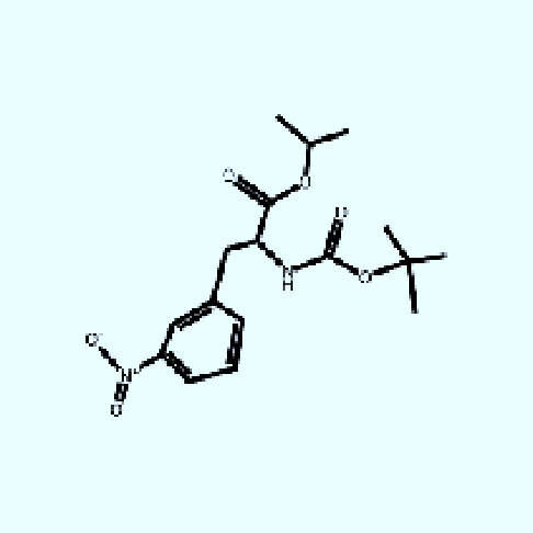 CC(C)OC(=O)C(Cc1cccc([N+](=O)[O-])c1)NC(=O)OC(C)(C)C